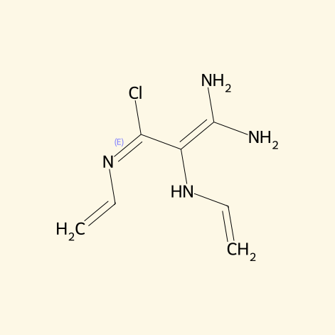 C=C/N=C(/Cl)C(NC=C)=C(N)N